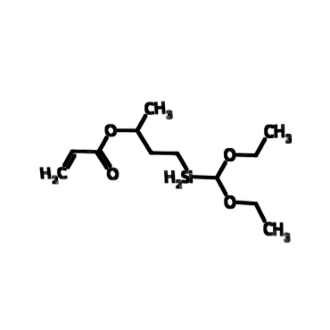 C=CC(=O)OC(C)CC[SiH2]C(OCC)OCC